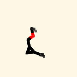 COCC1CC1C